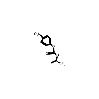 C[C@@H](OC(=O)Oc1ccc([N+](=O)[O-])cc1)C(F)(F)F